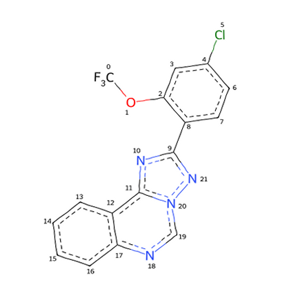 FC(F)(F)Oc1cc(Cl)ccc1-c1nc2c3ccccc3ncn2n1